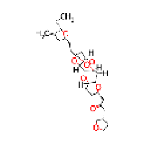 C=C1C[C@H](CC[C@@]23C[C@H]4O[C@@H]5C(O[C@H]6CC[C@H](CC(=O)C[C@@H]7CCOC7)OC6[C@@H]5O2)[C@H]4O3)O[C@H]1CC